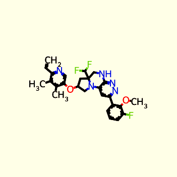 C=Cc1ncc(OC2CN3c4cc(-c5cccc(F)c5OC)nnc4NCC3(C(F)F)C2)c(C)c1C